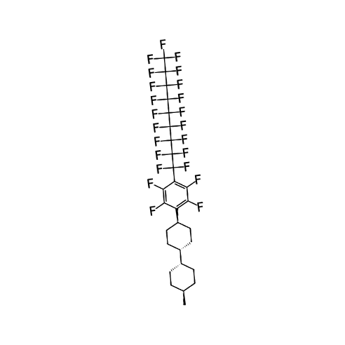 C[C@H]1CC[C@H]([C@H]2CC[C@H](c3c(F)c(F)c(C(F)(F)C(F)(F)C(F)(F)C(F)(F)C(F)(F)C(F)(F)C(F)(F)C(F)(F)C(F)(F)F)c(F)c3F)CC2)CC1